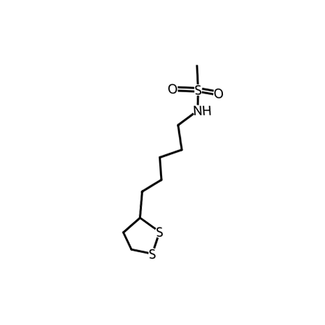 CS(=O)(=O)NCCCCCC1CCSS1